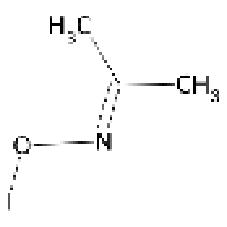 CC(C)=NOI